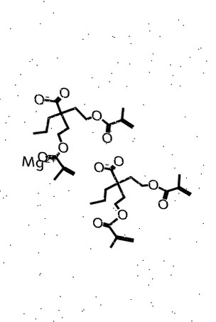 C=C(C)C(=O)OCCC(CCC)(CCOC(=O)C(=C)C)C(=O)[O-].C=C(C)C(=O)OCCC(CCC)(CCOC(=O)C(=C)C)C(=O)[O-].[Mg+2]